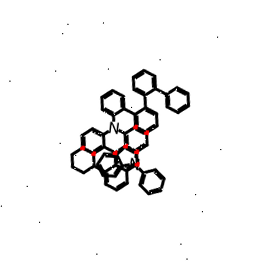 c1ccc(-c2ccccc2-c2ccccc2-c2ccccc2N(c2ccccc2-c2cccc3cccc(C4CCCCC4)c23)c2cccc3c2c2ccccc2n3-c2ccccc2)cc1